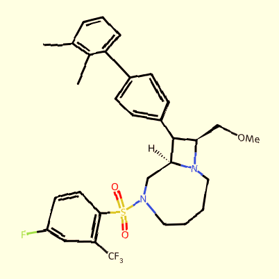 COC[C@@H]1C(c2ccc(-c3cccc(C)c3C)cc2)[C@@H]2CN(S(=O)(=O)c3ccc(F)cc3C(F)(F)F)CCCCN12